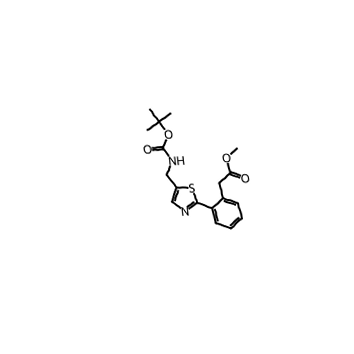 COC(=O)Cc1ccccc1-c1ncc(CNC(=O)OC(C)(C)C)s1